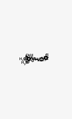 COc1cc(NC(=O)OCCCN2CCN(c3cccc(Cl)c3)CC2)cc(OC)c1OC